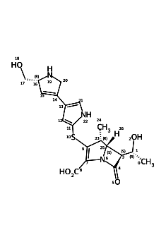 C[C@@H](O)[C@H]1C(=O)N2C(C(=O)O)=C(Sc3cc(C4=C[C@H](CO)NC4)c[nH]3)[C@H](C)[C@H]12